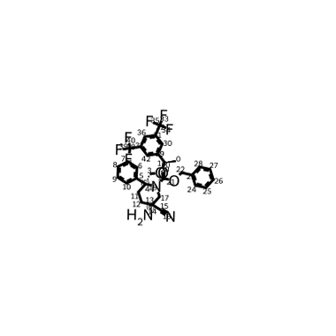 C[C@@H](OC[C@@]1(c2ccccc2)CC[C@](N)(C#N)CN1C(=O)OCc1ccccc1)c1cc(C(F)(F)F)cc(C(F)(F)F)c1